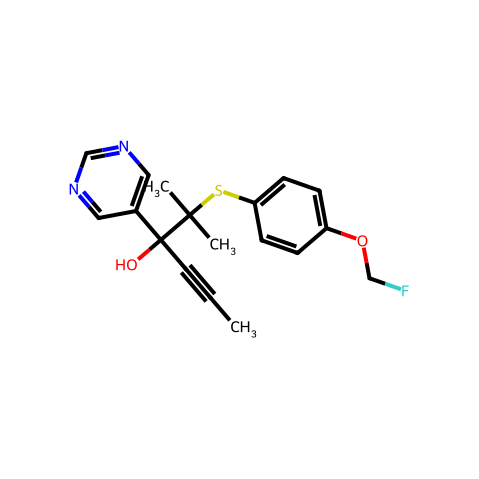 CC#CC(O)(c1cncnc1)C(C)(C)Sc1ccc(OCF)cc1